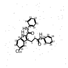 O=C(CCc1c(C(=O)Nc2ccccc2)[nH]c2ccc(Cl)cc12)Nc1ccccc1